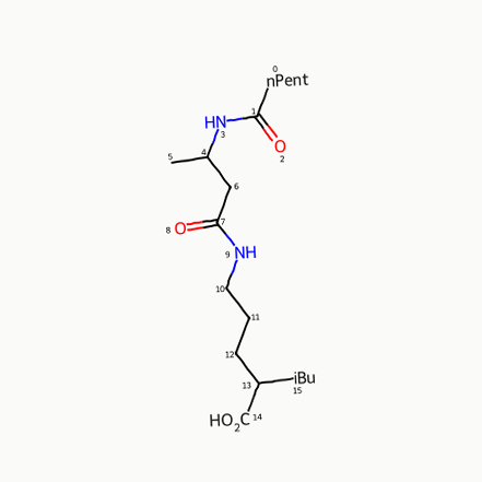 CCCCCC(=O)NC(C)CC(=O)NCCCC(C(=O)O)C(C)CC